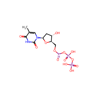 Cc1cn([C@H]2C[C@H](O)[C@@H](CO[PH](=O)OP(=O)(O)OP(=O)(O)O)O2)c(=O)[nH]c1=O